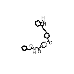 O=C(Cc1ccccc1)NCC(=O)N1CCN(C(=O)c2ccc(C=Cc3n[nH]c4ccccc34)cc2)CC1